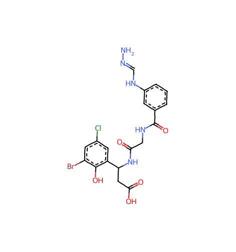 NN=CNc1cccc(C(=O)NCC(=O)NC(CC(=O)O)c2cc(Cl)cc(Br)c2O)c1